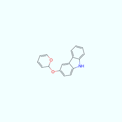 C1=COC(Oc2ccc3[nH]c4ccccc4c3c2)C=C1